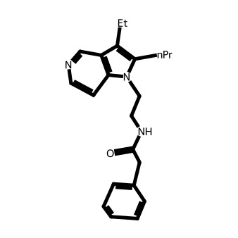 CCCc1c(CC)c2cnccc2n1CCNC(=O)Cc1ccccc1